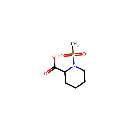 CS(=O)(=O)N1CCCCC1C(=O)O